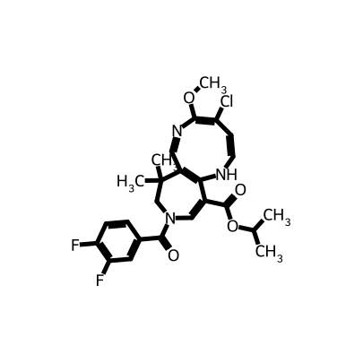 COc1ncc2c([nH]ccc1Cl)C(C(=O)OC(C)C)=CN(C(=O)c1ccc(F)c(F)c1)CC2(C)C